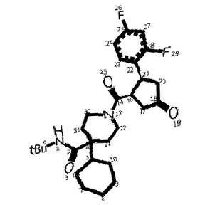 CC(C)(C)NC(=O)C1(C2CCCCC2)CCN(C(=O)[C@@H]2CC(=O)C[C@@H]2c2ccc(F)cc2F)CC1